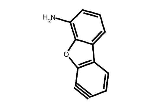 Nc1cccc2c1oc1c#cccc12